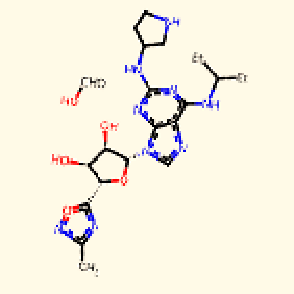 CCC(CC)Nc1nc(NC2CCNC2)nc2c1ncn2[C@@H]1O[C@H](c2nc(C)no2)[C@@H](O)[C@H]1O.O=CO